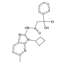 CCC(O)(CC(=O)Nc1nc2ccc(C)nc2n1C1CCC1)c1ccccc1